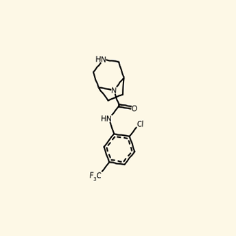 O=C(Nc1cc(C(F)(F)F)ccc1Cl)N1C2CCC1CNC2